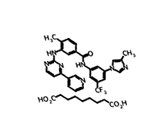 Cc1cn(-c2cc(NC(=O)c3ccc(C)c(Nc4nccc(-c5cccnc5)n4)c3)cc(C(F)(F)F)c2)cn1.O=C(O)CCCCCCCC(=O)O